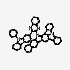 c1ccc(-n2c3ccccc3c3ccc(-c4nc5ccccc5nc4-n4c5cc6ccccc6cc5c5cc6c7ccccc7n7c8ccccc8c(c54)c67)cc32)cc1